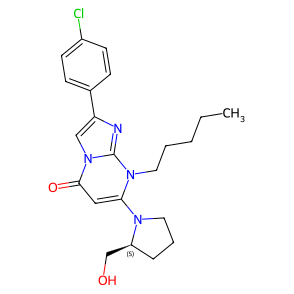 CCCCCn1c(N2CCC[C@H]2CO)cc(=O)n2cc(-c3ccc(Cl)cc3)nc12